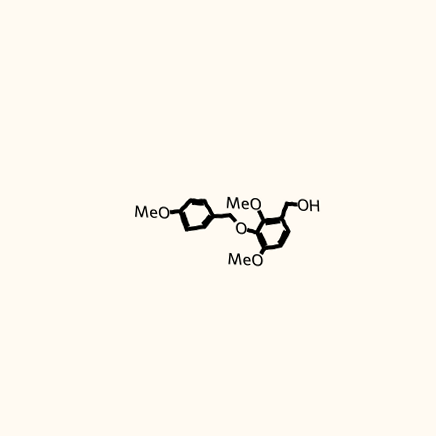 COc1ccc(COc2c(OC)ccc(CO)c2OC)cc1